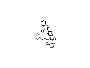 O=C1C=COC1C(=O)N(CCCN1CCOCC1)c1nc(C2Oc3ccccc3C2=O)cs1